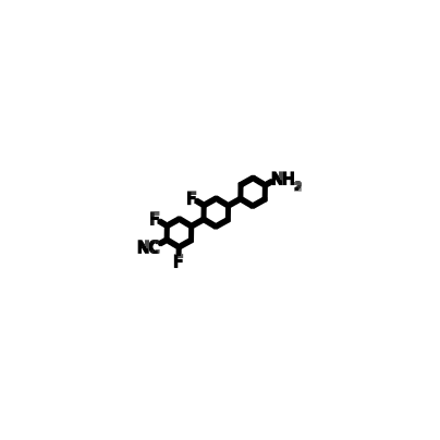 N#CC1C(F)CC(C2CCC(C3CCC(N)CC3)CC2F)CC1F